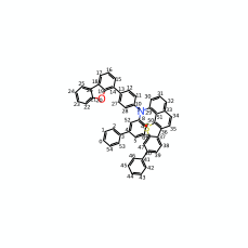 c1ccc(-c2cccc(N(c3ccc(-c4cccc5c4oc4ccccc45)cc3)c3cccc4ccc5c6ccc(-c7ccccc7)cc6sc5c34)c2)cc1